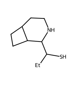 CCC(S)C1NCCC2CCC21